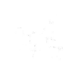 O=C(C[C@H](CCN1CCCCC1)NC(=O)c1cc(-c2ccccc2C(F)(F)F)n(C2CCCC2)n1)NC1CCC1